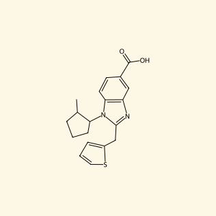 CC1CCCC1n1c(Cc2cccs2)nc2cc(C(=O)O)ccc21